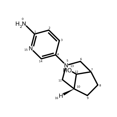 Nc1ccc(N2CC3CC[C@H](C2)C3O)cn1